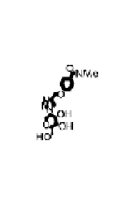 CNC(=O)c1ccc(OCc2cn([C@H]3CO[C@H](CO)[C@H](O)[C@@H]3O)nn2)cc1